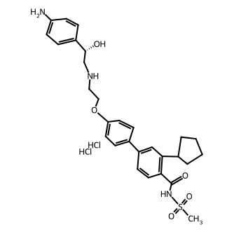 CS(=O)(=O)NC(=O)c1ccc(-c2ccc(OCCNC[C@@H](O)c3ccc(N)cc3)cc2)cc1C1CCCC1.Cl.Cl